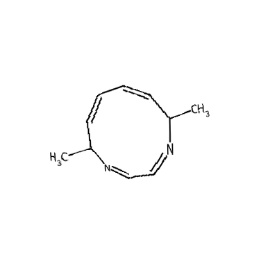 CC1/C=C\C=C/C(C)/N=C\C=N/1